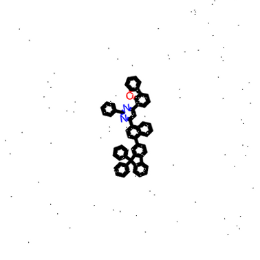 c1ccc(-c2nc(-c3ccc(-c4ccc5c(c4)C(c4ccccc4)(c4ccccc4)c4ccccc4-5)c4ccccc34)cc(-c3cccc4c3oc3ccccc34)n2)cc1